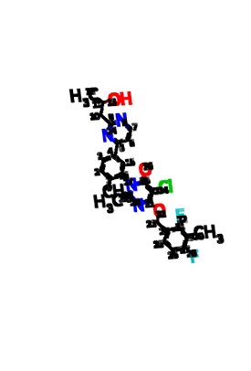 Cc1ccc(-c2ccnc(CC(C)O)n2)cc1-n1c(C)nc(OCc2ccc(F)c(C)c2F)c(Cl)c1=O